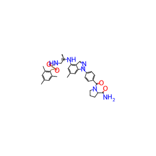 Cc1cc(C)c(S(=O)(=O)NC[C@@H](C)Nc2cc(C)cc3c2cnn3-c2ccc(C(=O)N3CCCC3C(N)=O)cc2)c(C)c1